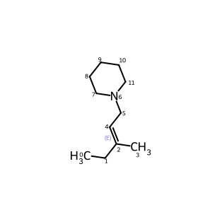 CC/C(C)=C/CN1CCCCC1